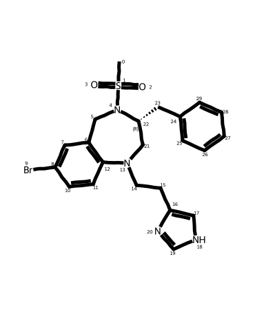 CS(=O)(=O)N1Cc2cc(Br)ccc2N(CCc2c[nH]cn2)C[C@H]1Cc1ccccc1